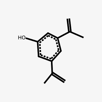 C=C(C)c1cc(O)cc(C(=C)C)c1